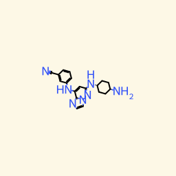 N#Cc1cccc(Nc2cc(N[C@H]3CC[C@H](N)CC3)nn3ccnc23)c1